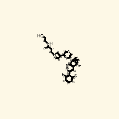 CC1(C)[C@H]2CC[C@]1(c1cncc(-c3cnn(CCC(=O)NCCO)c3)n1)c1nnc(-c3c(F)cccc3F)cc12